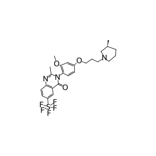 COc1cc(OCCCN2CCC[C@H](C)C2)ccc1-n1c(C)nc2ccc(S(F)(F)(F)(F)F)cc2c1=O